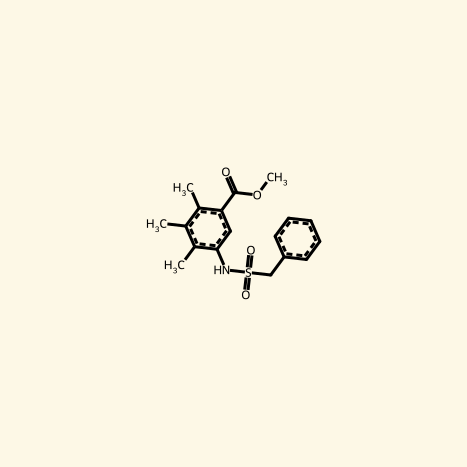 COC(=O)c1cc(NS(=O)(=O)Cc2ccccc2)c(C)c(C)c1C